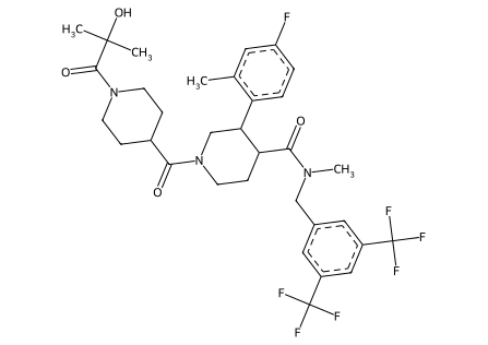 Cc1cc(F)ccc1C1CN(C(=O)C2CCN(C(=O)C(C)(C)O)CC2)CCC1C(=O)N(C)Cc1cc(C(F)(F)F)cc(C(F)(F)F)c1